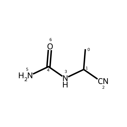 CC(C#N)NC(N)=O